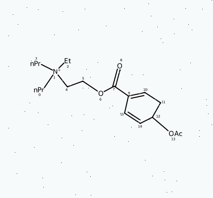 CCC[N+](CC)(CCC)CCOC(=O)C1=CCC(OC(C)=O)C=C1